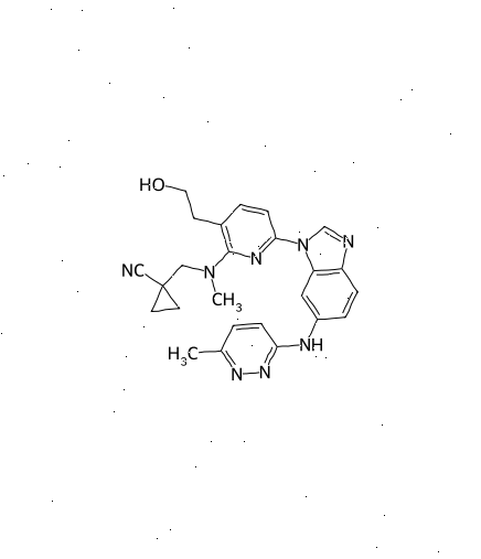 Cc1ccc(Nc2ccc3ncn(-c4ccc(CCO)c(N(C)CC5(C#N)CC5)n4)c3c2)nn1